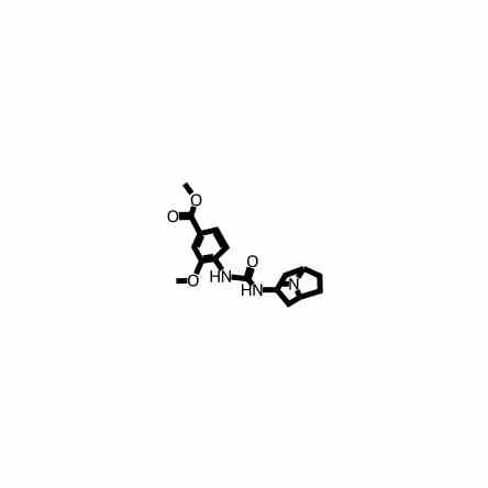 COC(=O)c1ccc(NC(=O)NC2CC3CCC(C2)N3C)c(OC)c1